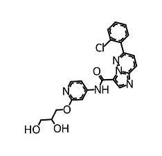 O=C(Nc1ccnc(OCC(O)CO)c1)c1cnc2ccc(-c3ccccc3Cl)nn12